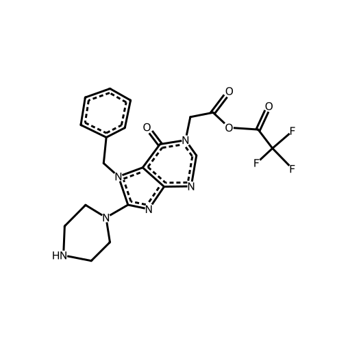 O=C(Cn1cnc2nc(N3CCNCC3)n(Cc3ccccc3)c2c1=O)OC(=O)C(F)(F)F